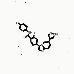 O=C(Nc1ccc(Cl)cn1)c1ccc(-c2cnc3ccc(-c4cn[nH]c4)cn23)cc1F